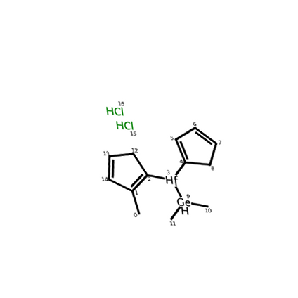 CC1=[C]([Hf]([C]2=CC=CC2)[GeH]([CH3])[CH3])CC=C1.Cl.Cl